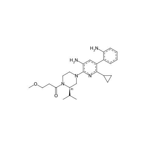 COCCC(=O)N1CCN(c2nc(C3CC3)c(-c3ccccc3N)cc2N)C[C@H]1C(C)C